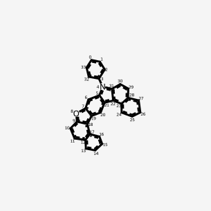 c1ccc(-n2c3cc4oc5ccc6ccccc6c5c4cc3c3c4ccccc4ccc32)cc1